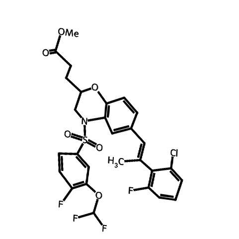 COC(=O)CCC1CN(S(=O)(=O)c2ccc(F)c(OC(F)F)c2)c2cc(C=C(C)c3c(F)cccc3Cl)ccc2O1